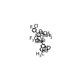 Cc1ccc2cc(C(=O)NC[C@](O)(c3cc4c(c(-c5ccc(F)c(Cl)c5)n3)OC[C@]4(C)C(N)=O)C(F)(F)F)cc(N3CCCC3=O)c2n1